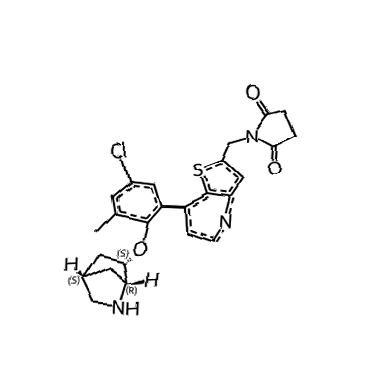 Cc1cc(Cl)cc(-c2ccnc3cc(CN4C(=O)CCC4=O)sc23)c1O[C@H]1C[C@H]2CN[C@@H]1C2